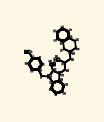 N#Cc1ccc(CN2c3ccccc3N(CC(O)CN3CCc4ccccc4C3)C2O)cc1